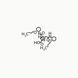 CCCCO[C@H]1CCCC[C@@H]1NC(=O)Cn1nc(C(=O)O)cc1C(=O)N[C@@H]1CCCC[C@H]1OCCCC